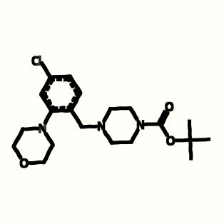 CC(C)(C)OC(=O)N1CCN(Cc2ccc(Cl)cc2N2CCOCC2)CC1